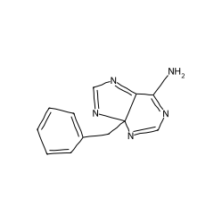 NC1=NC=NC2(Cc3ccccc3)N=CN=C12